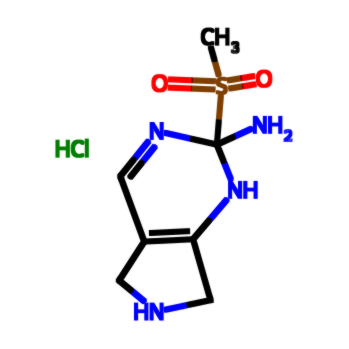 CS(=O)(=O)C1(N)N=CC2=C(CNC2)N1.Cl